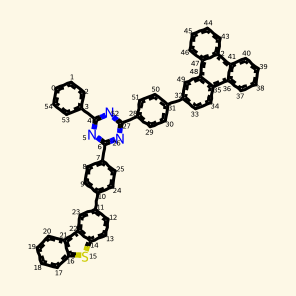 c1ccc(-c2nc(-c3ccc(-c4ccc5sc6ccccc6c5c4)cc3)nc(-c3ccc(-c4ccc5c6ccccc6c6ccccc6c5c4)cc3)n2)cc1